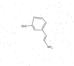 O=Cc1cccc(C=C[N+](=O)[O-])c1